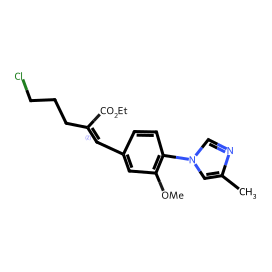 CCOC(=O)/C(=C\c1ccc(-n2cnc(C)c2)c(OC)c1)CCCCl